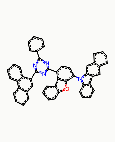 c1ccc(-c2nc(-c3cc4ccccc4c4ccccc34)nc(-c3ccc(-n4c5ccccc5c5cc6ccccc6cc54)c4oc5ccccc5c34)n2)cc1